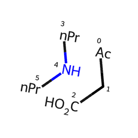 CC(=O)CC(=O)O.CCCNCCC